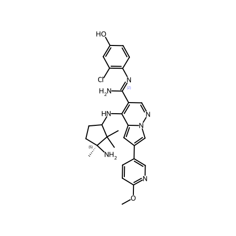 COc1ccc(-c2cc3c(NC4CC[C@](C)(N)C4(C)C)c(/C(N)=N/c4ccc(O)cc4Cl)cnn3c2)cn1